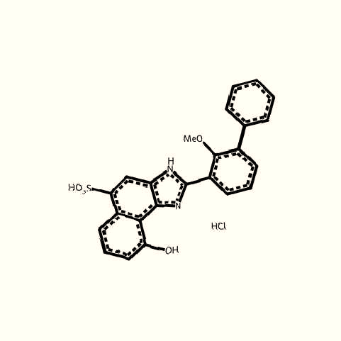 COc1c(-c2ccccc2)cccc1-c1nc2c(cc(S(=O)(=O)O)c3cccc(O)c32)[nH]1.Cl